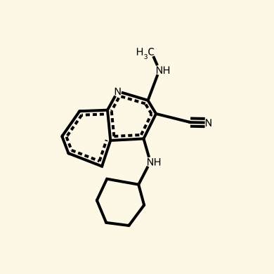 CNc1nc2ccccc2c(NC2CCCCC2)c1C#N